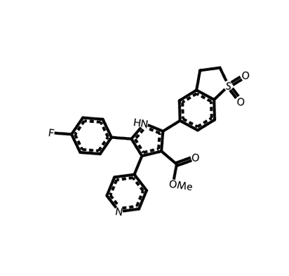 COC(=O)c1c(-c2ccc3c(c2)CCS3(=O)=O)[nH]c(-c2ccc(F)cc2)c1-c1ccncc1